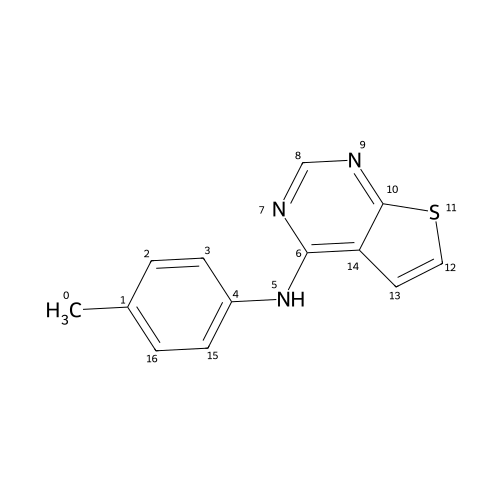 Cc1ccc(Nc2ncnc3sccc23)cc1